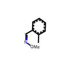 CO/N=[C]\c1ccccc1C